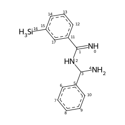 N=C(NC(N)c1ccccc1)c1cccc([SiH3])c1